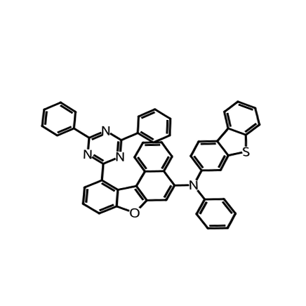 c1ccc(-c2nc(-c3ccccc3)nc(-c3cccc4oc5cc(N(c6ccccc6)c6ccc7c(c6)sc6ccccc67)c6ccccc6c5c34)n2)cc1